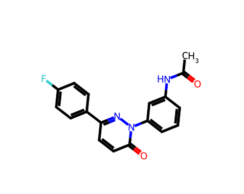 CC(=O)Nc1cccc(-n2nc(-c3ccc(F)cc3)ccc2=O)c1